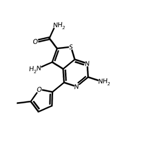 Cc1ccc(-c2nc(N)nc3sc(C(N)=O)c(N)c23)o1